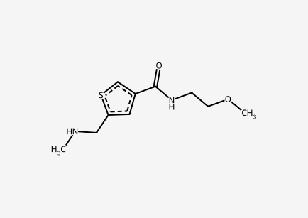 CNCc1cc(C(=O)NCCOC)cs1